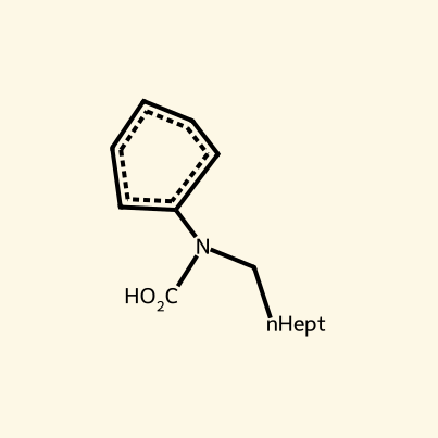 CCCCCCCCN(C(=O)O)c1ccccc1